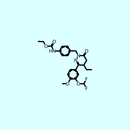 CCOC(=O)Nc1ccc(CN2N=C(c3ccc(OC)c(OC(F)F)c3)C(CC)CC2=O)cc1